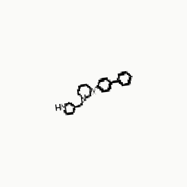 c1ccc(-c2ccc([C@H]3CCCN(CC4CCNC4)C3)cc2)cc1